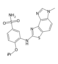 CC(C)Oc1ccc(S(N)(=O)=O)cc1Nc1nc2c(ccc3c2ncn3C)s1